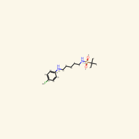 CC(C)(C)S(=O)(=O)NCCCCCNc1ccc(F)cc1